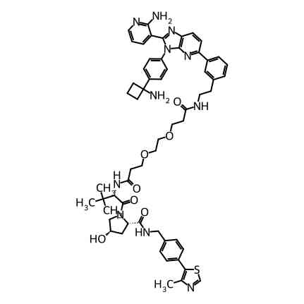 Cc1ncsc1-c1ccc(CNC(=O)[C@@H]2C[C@@H](O)CN2C(=O)[C@@H](NC(=O)CCOCCOCCC(=O)NCCc2cccc(-c3ccc4nc(-c5cccnc5N)n(-c5ccc(C6(N)CCC6)cc5)c4n3)c2)C(C)(C)C)cc1